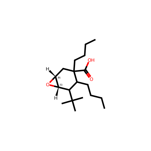 CCCCC1C(C(C)(C)C)[C@@H]2O[C@@H]2CC1(CCCC)C(=O)O